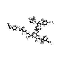 [N-]=[N+]=Nc1ccc(COC(=O)NCCC[C@@H](N)C(=O)OC2C(COP(=O)(O)O[C@H]3C[C@H](n4ccc(N)nc4=O)O[C@@H]3COP(=O)(O)O)OC(n3cnc4c(N)ncnc43)C2O)cc1